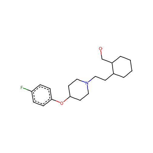 [O]CC1CCCCC1CCN1CCC(Oc2ccc(F)cc2)CC1